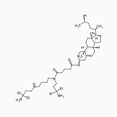 CCC(N)(CC)CCNCCCCN(CCC(N)(CC)CC)C(=O)CCCC(=O)O[C@H]1CC[C@@]2(C)C(=CC[C@H]3[C@@H]4CC[C@H]([C@H](C)CC[C@@H](C)C(C)C)[C@@]4(C)CC[C@@H]32)C1